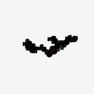 O=C1CCC(N2C(=O)c3cccc(NCCCC(=O)N4CC(COc5cccc(-c6ccc(Cl)cc6)c5CN5CCN(c6ccc(C(=O)NS(=O)(=O)c7ccc(NCC8CCOCC8)c([N+](=O)[O-])c7)c(Oc7cnc8[nH]ccc8c7)c6)CC5)C4)c3C2=O)C(=O)N1